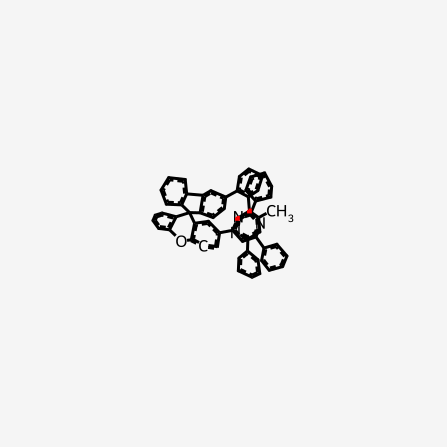 Cc1cc(-c2ccccc2)ncc1-c1ccccc1-c1ccc2c(c1)-c1ccccc1C21c2ccccc2Oc2ccc(-c3cc(-c4ccccc4)nc(-c4ccccc4)n3)cc21